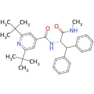 CNC(=O)[C@@H](NC(=O)c1cc(C(C)(C)C)nc(C(C)(C)C)c1)C(c1ccccc1)c1ccccc1